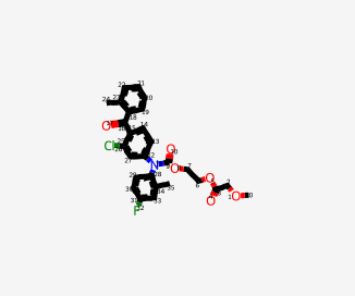 COCC(=O)OCCOC(=O)N(c1ccc(C(=O)c2ccccc2C)c(Cl)c1)c1ccc(F)cc1C